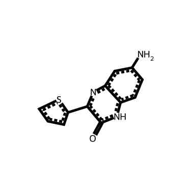 Nc1ccc2[nH]c(=O)c(-c3cccs3)nc2c1